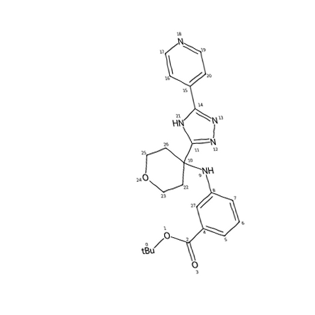 CC(C)(C)OC(=O)c1cccc(NC2(c3nnc(-c4ccncc4)[nH]3)CCOCC2)c1